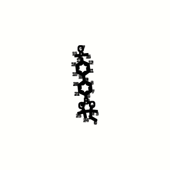 CCC1(C)OB(c2ccc(-c3ccc(P(C)(C)=O)cc3)cc2)OC1(C)C